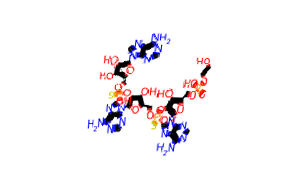 Nc1ncnc2c1ncn2[C@@H]1O[C@H](COP(O)(=S)OC2[C@@H](O)[C@@H](COP(O)(=S)OC3[C@@H](O)[C@@H](COP(=O)(O)OCCO)O[C@H]3n3cnc4c(N)ncnc43)O[C@H]2n2cnc3c(N)ncnc32)[C@H](O)C1O